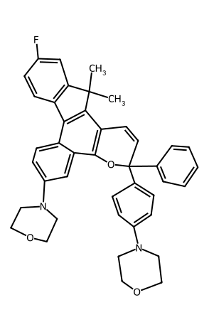 CC1(C)c2cc(F)ccc2-c2c1c1c(c3cc(N4CCOCC4)ccc23)OC(c2ccccc2)(c2ccc(N3CCOCC3)cc2)C=C1